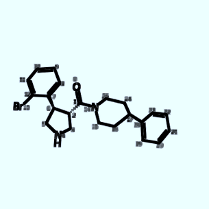 O=C([C@@H]1CNC[C@H]1c1ccccc1Br)N1CCC(c2ccccc2)CC1